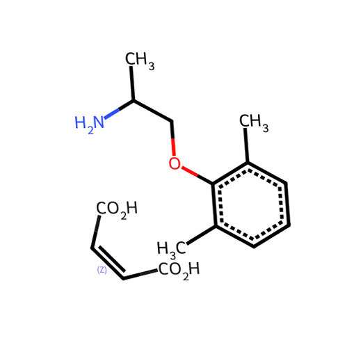 Cc1cccc(C)c1OCC(C)N.O=C(O)/C=C\C(=O)O